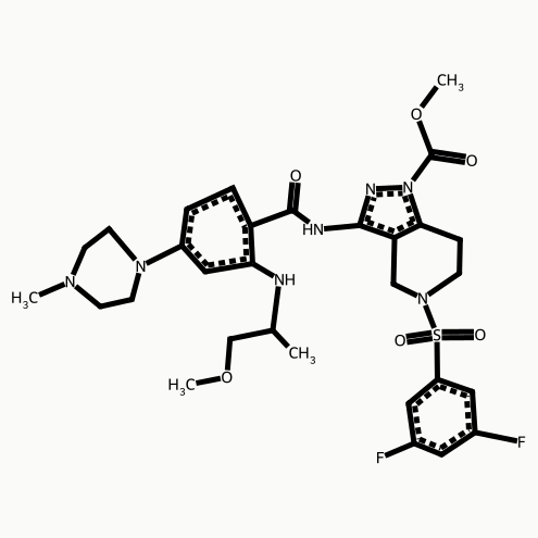 COCC(C)Nc1cc(N2CCN(C)CC2)ccc1C(=O)Nc1nn(C(=O)OC)c2c1CN(S(=O)(=O)c1cc(F)cc(F)c1)CC2